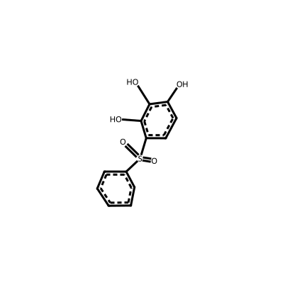 O=S(=O)(c1ccccc1)c1ccc(O)c(O)c1O